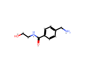 NCc1ccc(C(=O)NCCO)cc1